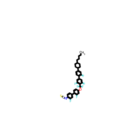 CCCCCC1CCC(c2ccc(-c3cc(F)c(C(F)(F)Oc4ccc(-c5ccc(N=C=S)c(F)c5)c(F)c4)c(F)c3)c(F)c2)CC1